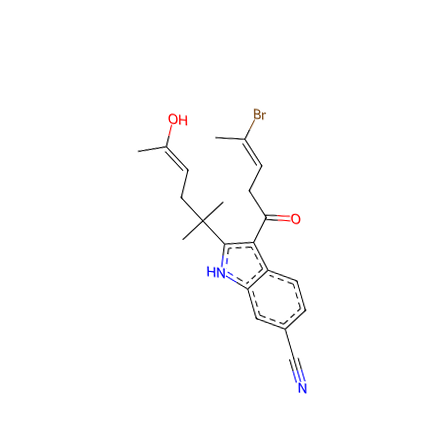 C/C(O)=C\CC(C)(C)c1[nH]c2cc(C#N)ccc2c1C(=O)C/C=C(\C)Br